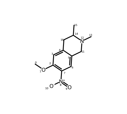 COc1cc2c(cc1[N+](=O)[O-])CN(C)C(C)C2